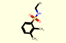 Cc1cccc(S(=O)(=O)NCC(C)C)c1C